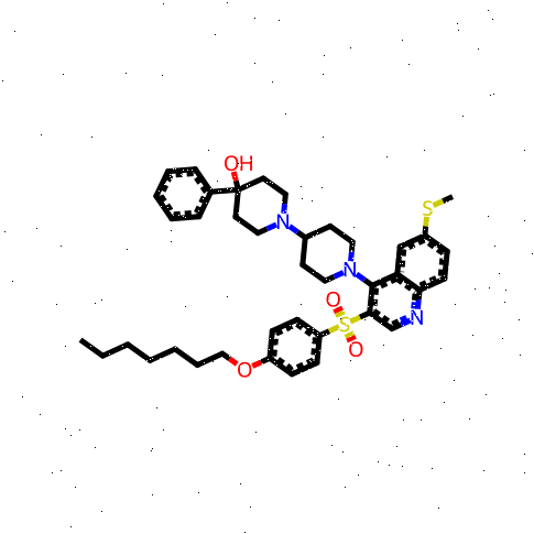 CCCCCCCOc1ccc(S(=O)(=O)c2cnc3ccc(SC)cc3c2N2CCC(N3CCC(O)(c4ccccc4)CC3)CC2)cc1